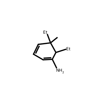 CCC1C(N)=CC=CC1(C)CC